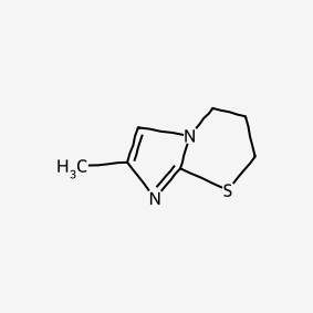 Cc1cn2c(n1)SCCC2